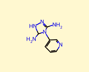 NC1=NNC(N)N1c1cccnc1